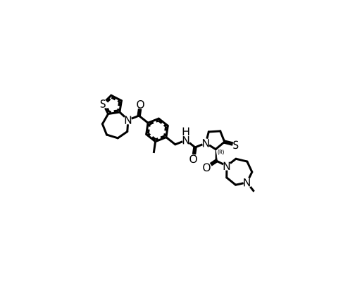 Cc1cc(C(=O)N2CCCCc3sccc32)ccc1CNC(=O)N1CCC(=S)[C@H]1C(=O)N1CCCN(C)CC1